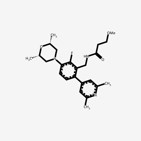 COCCC(=O)NCc1c(-c2cc(C)nc(C)c2)ccc(N2C[C@@H](C)O[C@@H](C)C2)c1F